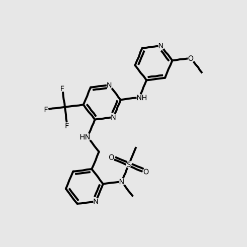 COc1cc(Nc2ncc(C(F)(F)F)c(NCc3cccnc3N(C)S(C)(=O)=O)n2)ccn1